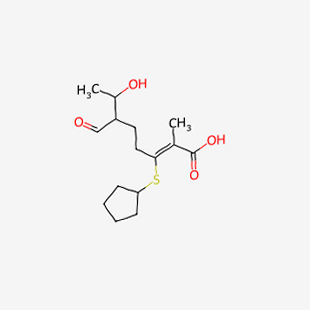 CC(C(=O)O)=C(CCC(C=O)C(C)O)SC1CCCC1